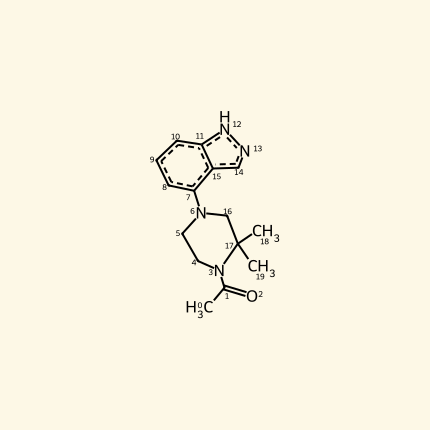 CC(=O)N1CCN(c2cccc3[nH]ncc23)CC1(C)C